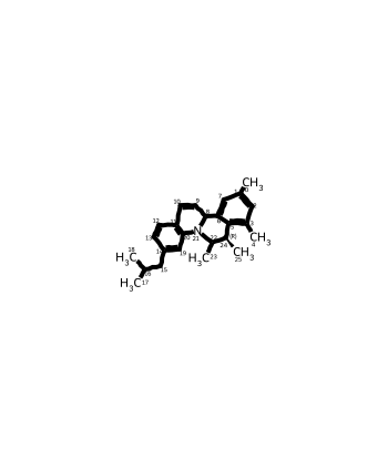 Cc1cc(C)c2c(c1)C1C=Cc3ccc(CC(C)C)cc3N1C(C)[C@@H]2C